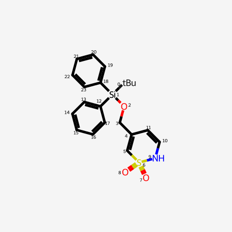 CC(C)(C)[Si](OCC1=CS(=O)(=O)NC=C1)(c1ccccc1)c1ccccc1